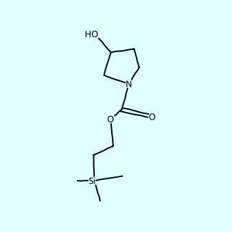 C[Si](C)(C)CCOC(=O)N1CCC(O)C1